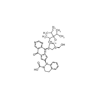 CC(C)[Si](O[C@H]1C[C@H](Nc2ncncc2C(=O)c2cc([C@H]3c4ccccc4CCN3C(=O)O)cs2)C[C@@H]1CO)(C(C)C)C(C)C